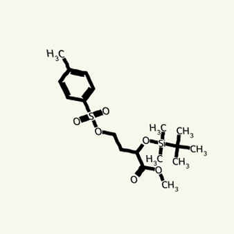 COC(=O)C(CCOS(=O)(=O)c1ccc(C)cc1)O[Si](C)(C)C(C)(C)C